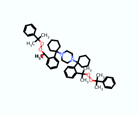 CC(C)(OOC(C)(C)c1ccccc1C1(N2CCN(C3(c4ccccc4C(C)(C)OOC(C)(C)c4ccccc4)CCCCC3)CC2)CCCCC1)c1ccccc1